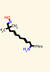 CCCCCCC(N)C/C=C/CC/C=C/CC(C)(C)/C=N/O